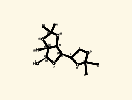 CC1(C)OCC([C@H]2O[C@H](O)[C@@H]3OC(C)(C)OC23)O1